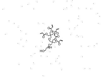 C=CC(=O)OCC(COCC(COC(=O)C=C)(COC(=O)C=C)COC(=O)C=C)(CONCCO)COC(=O)C=C